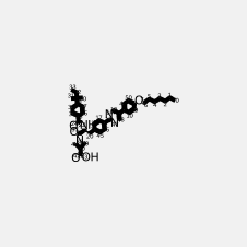 CCCCCCCOc1ccc(-c2cnc(-c3ccc(C[C@H](NC(=O)c4ccc(C(C)(C)CC)cc4)C(=O)N4CC(C(=O)O)C4)cc3)nc2)cc1